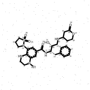 CCN1CCNc2c1cc(C(=O)N[C@@H](Cc1ccccc1)[C@H](O)CNC1CCOC(=O)C1)cc2N1CCCS1(=O)=O